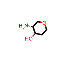 N[C@@H]1COCC[C@H]1O